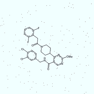 COc1ncc(C(=O)NCc2ccc(Cl)c(Cl)c2)c(C2CCN(C(=O)Cc3c(F)cccc3F)CC2)n1